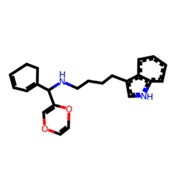 C1=CCCC(C(NCCCCc2c[nH]c3ccccc23)C2=COC=CO2)=C1